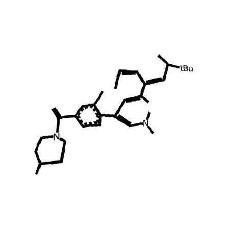 C=C(c1ccc(C(/C=C(C)/C(/C=C\C)=C/C(C)C(C)(C)C)=C/N(C)C)c(C)c1)N1CCC(C)CC1